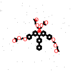 c1ccc(-c2ccc(C(c3cc(-c4ccc(OCCOCC5CO5)cc4)ccc3OCCOCC3CO3)c3cc(-c4ccc(OCCOC5COC5)cc4)ccc3OCCOC3COC3)cc2)cc1